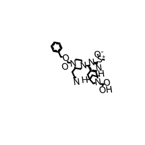 C[S+]([O-])c1nc2c(c(N3CCN(C(=O)OCc4ccccc4)C(CC#N)C3)n1)C[C@@H]1C[C@H]2N(C(=O)O)C1